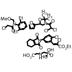 CC1(C)OC(c2ccco2)CN1C(=O)C(Cl)Cl.CCOC(=O)/C(Cl)=C/c1cc(N2C(=O)C3=C(CCCC3)C2=O)ccc1Cl.CCc1cccc(CC)c1N(COC)C(=O)CCl.O=C(O)CNCP(=O)(O)O